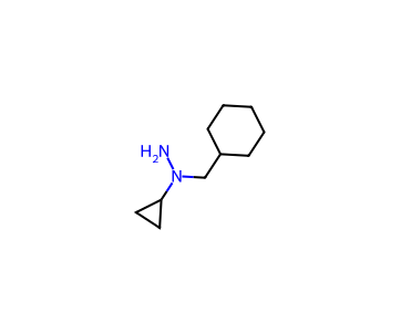 NN(CC1CCCCC1)C1CC1